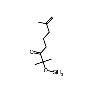 C=C(C)CCCC(=O)C(C)(C)O[SiH3]